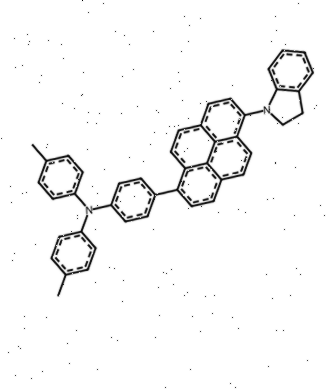 Cc1ccc(N(c2ccc(C)cc2)c2ccc(-c3ccc4ccc5c(N6CCc7ccccc76)ccc6ccc3c4c65)cc2)cc1